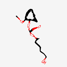 COc1ccccc1OC(=O)OCCCCCO